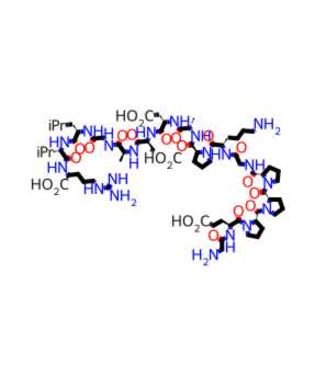 CC(C)C[C@H](NC(=O)CNC(=O)[C@H](C)NC(=O)[C@H](CC(=O)O)NC(=O)[C@H](CC(=O)O)NC(=O)[C@H](C)NC(=O)[C@@H]1CCCN1C(=O)[C@H](CCCCN)NC(=O)CNC(=O)[C@@H]1CCCN1C(=O)[C@@H]1CCCN1C(=O)[C@@H]1CCCN1C(=O)[C@H](CCC(=O)O)NC(=O)CN)C(=O)N[C@H](C(=O)N[C@@H](CCCNC(=N)N)C(=O)O)C(C)C